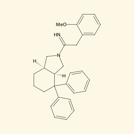 COc1ccccc1CC(=N)N1C[C@@H]2CCCC(c3ccccc3)(c3ccccc3)[C@@H]2C1